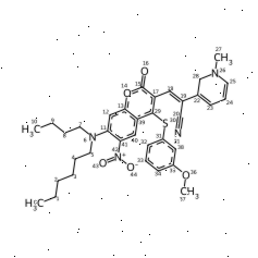 CCCCCCN(CCCC)c1cc2oc(=O)c(C=C(C#N)C3=CC=CN(C)C3)c(Sc3cccc(OC)c3)c2cc1[N+](=O)[O-]